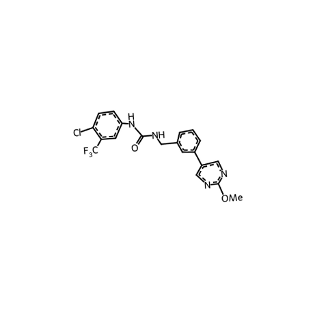 COc1ncc(-c2cccc(CNC(=O)Nc3ccc(Cl)c(C(F)(F)F)c3)c2)cn1